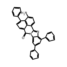 Nc1ccc2c3c1c(-c1ccccc1)ccc3c(=O)n1c3cc(-c4ccccc4)cc(-c4ccccc4)c3nc21